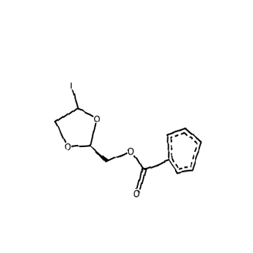 O=C(OC[C@H]1OCC(I)O1)c1ccccc1